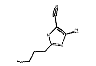 CCCCC1=NC(Cl)=C(C#N)[N]1